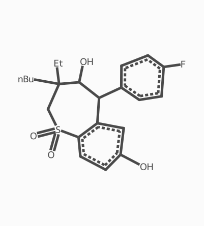 CCCCC1(CC)CS(=O)(=O)c2ccc(O)cc2C(c2ccc(F)cc2)C1O